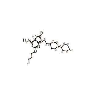 CCCCOc1nc(N)c2[nH]c(=O)n(CCC3CCN(C4CCCCC4)CC3)c2n1